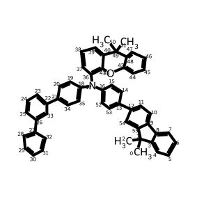 CC1(C)c2ccccc2-c2ccc(-c3ccc(N(c4ccc(-c5cccc(-c6ccccc6)c5)cc4)c4cccc5c4Oc4ccccc4C5(C)C)cc3)cc21